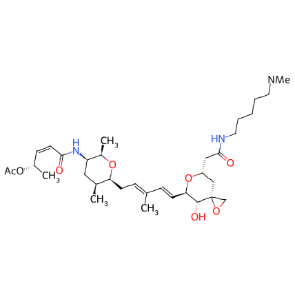 CNCCCCCNC(=O)C[C@@H]1C[C@@]2(CO2)[C@H](O)[C@@H](/C=C/C(C)=C/C[C@@H]2O[C@H](C)[C@H](NC(=O)/C=C\[C@H](C)OC(C)=O)C[C@@H]2C)O1